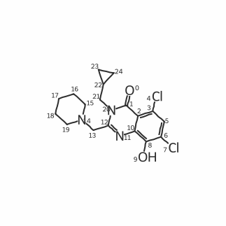 O=c1c2c(Cl)cc(Cl)c(O)c2nc(CN2CCCCC2)n1CC1CC1